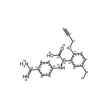 C#CCOc1ccc(CC)cc1[C@@H](Nc1ccc(C(=N)N)cc1)C(=O)O